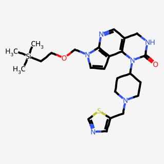 C[Si](C)(C)CCOCn1ccc2c3c(cnc21)CNC(=O)N3C1CCN(Cc2cncs2)CC1